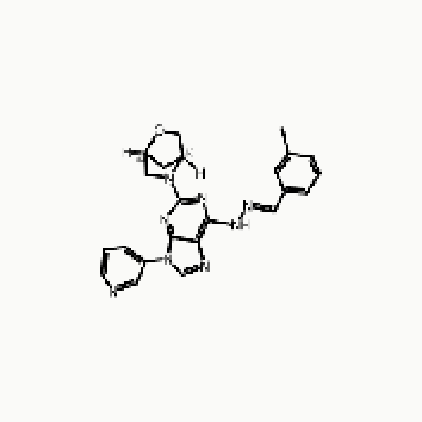 Cc1cccc(C=NNc2nc(N3C[C@H]4C[C@@H]3CO4)nc3c2ncn3-c2cccnc2)c1